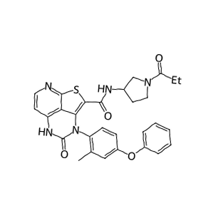 CCC(=O)N1CCC(NC(=O)c2sc3nccc4c3c2N(c2ccc(Oc3ccccc3)cc2C)C(=O)N4)C1